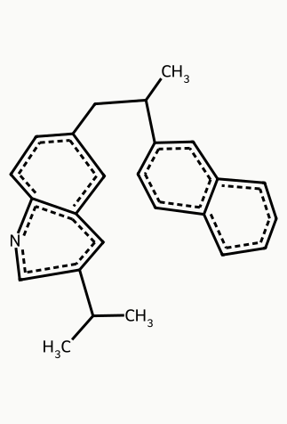 CC(C)c1cnc2ccc(CC(C)c3ccc4ccccc4c3)cc2c1